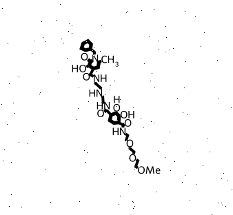 COCCOCCOCCNC(=O)c1ccc(C(=O)NCCNCCNC(=O)c2cc(C)n(Cc3ccccc3)c(=O)c2O)c(O)c1O